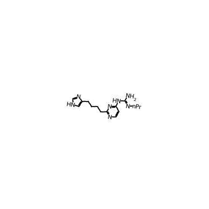 CCCN=C(N)Nc1ccnc(CCCCc2c[nH]cn2)n1